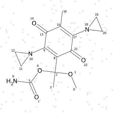 COC(C)(OC(N)=O)C1=C(N2CC2)C(=O)C(C)=C(N2CC2)C1=O